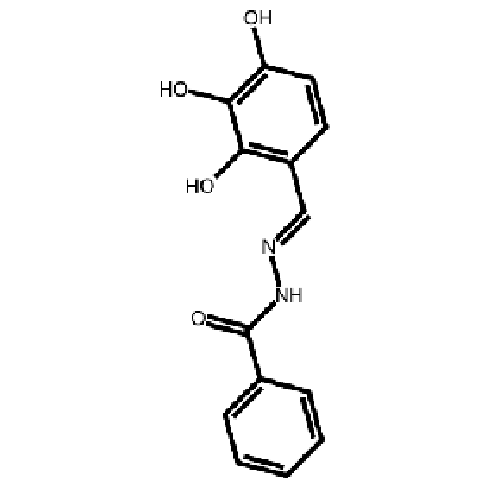 O=C(N/N=C/c1ccc(O)c(O)c1O)c1ccccc1